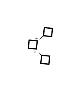 C1CC([C@H]2CC[C@H]2C2CCC2)C1